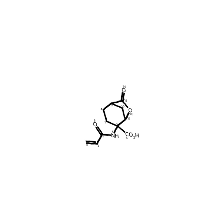 C=CC(=O)NC1(C(=O)O)CCC2CC1OC2=O